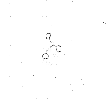 COc1ccc(C(=O)Nc2oc(-c3ccccc3)nc2-c2ccccc2)c(OC)c1